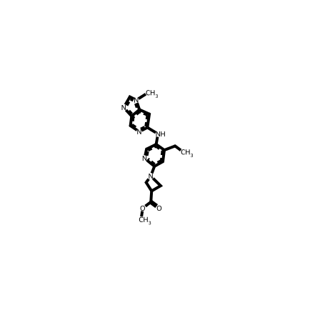 CCc1cc(N2CC(C(=O)OC)C2)ncc1Nc1cc2c(cn1)ncn2C